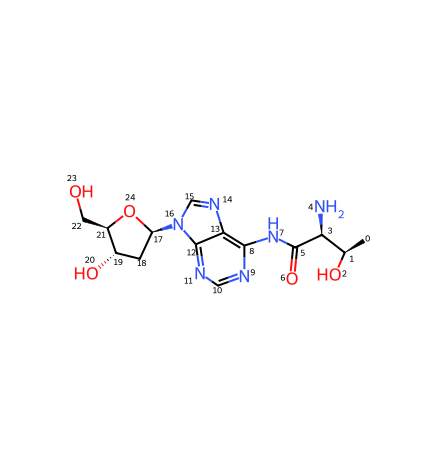 C[C@@H](O)[C@H](N)C(=O)Nc1ncnc2c1ncn2[C@H]1C[C@H](O)[C@@H](CO)O1